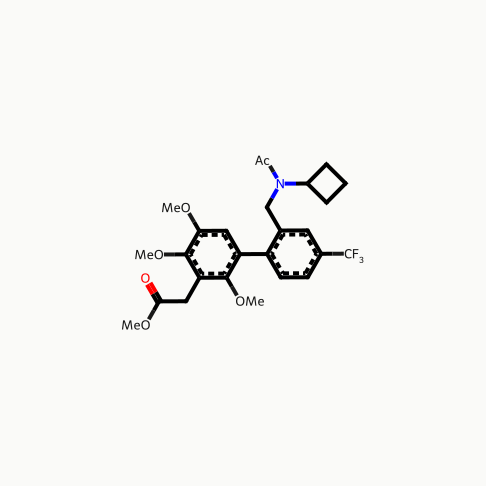 COC(=O)Cc1c(OC)c(OC)cc(-c2ccc(C(F)(F)F)cc2CN(C(C)=O)C2CCC2)c1OC